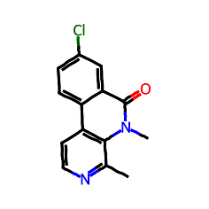 Cc1nccc2c3ccc(Cl)cc3c(=O)n(C)c12